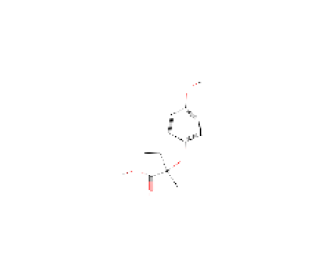 CCC(C)(Oc1ccc(OC)cc1)C(=O)OC